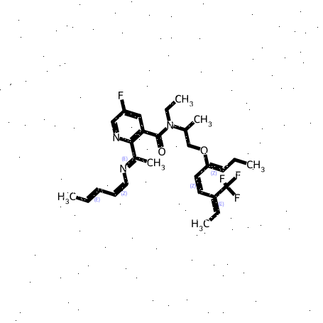 C/C=C/C=C\N=C(/C)c1ncc(F)cc1C(=O)N(CC)C(C)COC(/C=C\C(=C/C)C(F)(F)F)=C\CC